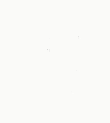 O=C(NC(c1cccnc1)c1ccc2cccnc2c1O)c1ccccc1